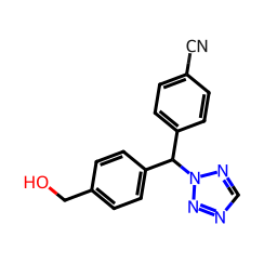 N#Cc1ccc(C(c2ccc(CO)cc2)n2ncnn2)cc1